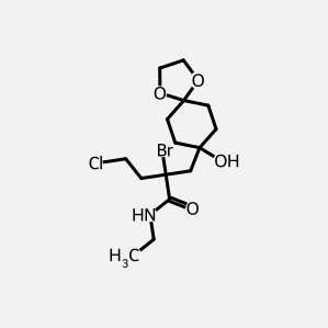 CCNC(=O)C(Br)(CCCl)CC1(O)CCC2(CC1)OCCO2